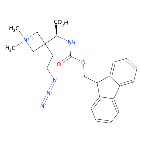 C[N+]1(C)CC(CCN=[N+]=[N-])([C@H](NC(=O)OCC2c3ccccc3-c3ccccc32)C(=O)O)C1